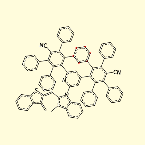 C=c1/c(=C\c2c(C)c3ccccc3n2-c2cc(-c3c(-c4ccccc4)c(-c4ccccc4)c(C#N)c(-c4ccccc4)c3-c3ccccc3)cc(-c3c(-c4ccccc4)c(-c4ccccc4)c(C#N)c(-c4ccccc4)c3-c3ccccc3)n2)sc2ccccc12